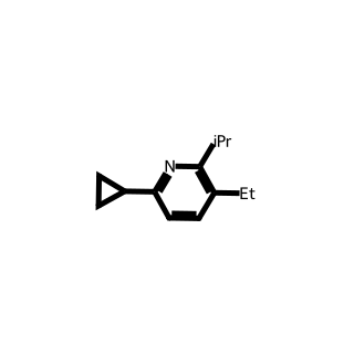 CCc1ccc(C2CC2)nc1C(C)C